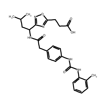 Cc1ccccc1NC(=O)Nc1ccc(CC(=O)NC(CC(C)C)c2noc(CCC(=O)O)n2)cc1